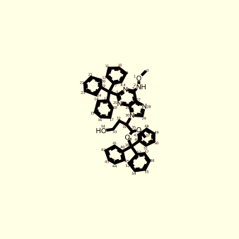 CONc1nc(C(c2ccccc2)(c2ccccc2)c2ccccc2)nc2c1ncn2C(CCO)C(OC)OC(c1ccccc1)(c1ccccc1)c1ccccc1